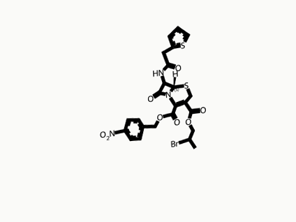 CC(Br)COC(=O)C1=C(C(=O)OCc2ccc([N+](=O)[O-])cc2)N2C(=O)C(NC(=O)Cc3cccs3)[C@@H]2SC1